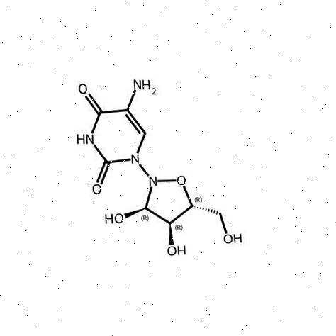 Nc1cn(N2O[C@H](CO)[C@@H](O)[C@H]2O)c(=O)[nH]c1=O